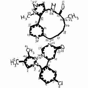 Cc1cn(-c2ccc(Cl)cc2-c2cc(=O)n([C@H]3CCC[C@@H](C)C(=O)Nc4cnn(C)c4-c4ccnc3c4)cn2)nc1C